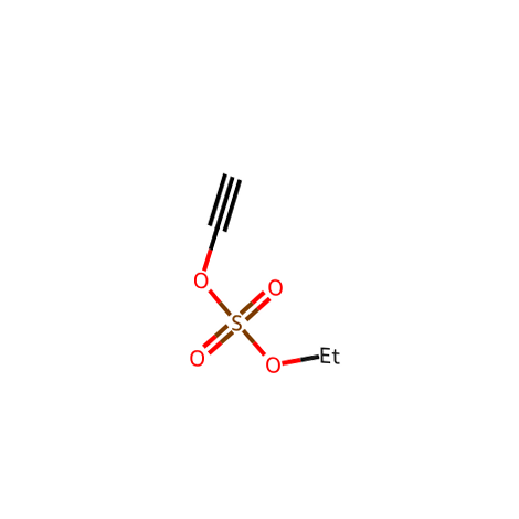 C#COS(=O)(=O)OCC